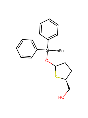 CCCC[Si](OC1CC[C@@H](CO)S1)(c1ccccc1)c1ccccc1